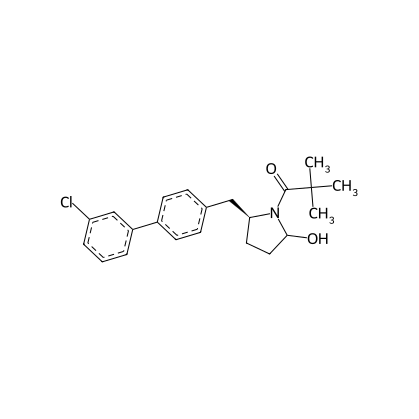 CC(C)(C)C(=O)N1C(O)CC[C@H]1Cc1ccc(-c2cccc(Cl)c2)cc1